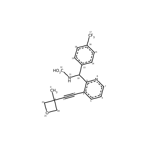 CC1(C#Cc2cccnc2C(NC(=O)O)c2ccc(C(F)(F)F)cc2)COC1